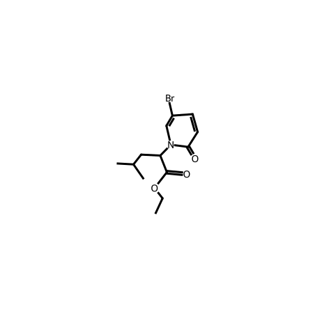 CCOC(=O)C(CC(C)C)n1cc(Br)ccc1=O